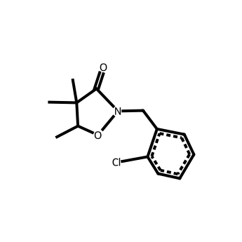 CC1ON(Cc2ccccc2Cl)C(=O)C1(C)C